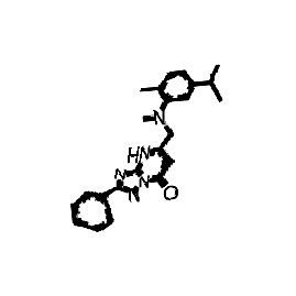 Cc1ccc(C(C)C)cc1N(C)Cc1cc(=O)n2nc(-c3ccccc3)nc2[nH]1